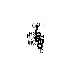 C[C@]12CCC(=O)C=C1C=C[C@H]1[C@@H]3CC[C@](O)(CCC(=O)O)[C@@]3(C)CC(O)[C@@]12F